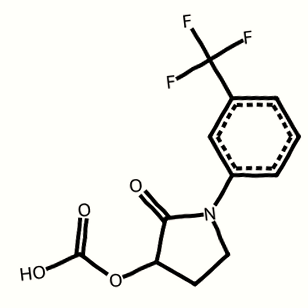 O=C(O)OC1CCN(c2cccc(C(F)(F)F)c2)C1=O